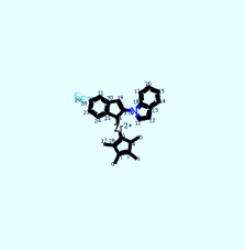 CC1=C(C)C(C)[C]([Zr+2][CH]2C(n3ccc4ccccc43)=Cc3ccccc32)=C1C.[F-].[F-]